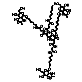 CCCCCCCNC(=O)CCC(=O)NC(CC(=O)NC(CC(=O)NCC(=O)NCCCCCCO[C@@H]1OC(CO)[C@H](O)C(O)[C@@H]1NC(C)=O)C(=O)NCC(=O)CCCCCCCO[C@@H]1OC(CO)[C@H](O)C(O)C1NC(C)=O)C(=O)NCC(=O)NCCCCCCO[C@@H]1OC(CO)[C@H](O)C(O)C1NC(C)=O